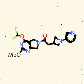 COc1nc2c(c(OC(F)F)n1)CN(C(=O)CC1CN(c3cccnc3)C1)C2